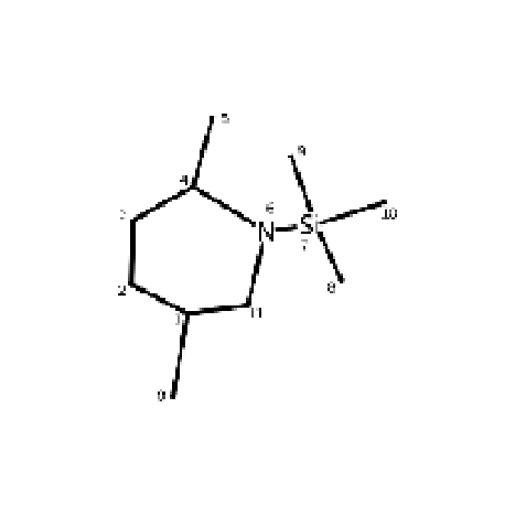 CC1CCC(C)N([Si](C)(C)C)C1